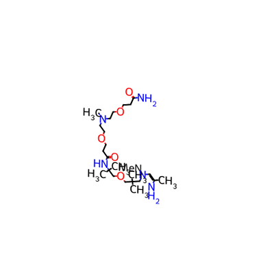 CNN(/C=C(/C)N)CC(C)(C)COCC(C)(C)NC(=O)CCOCCN(C)CCOCCC(N)=O